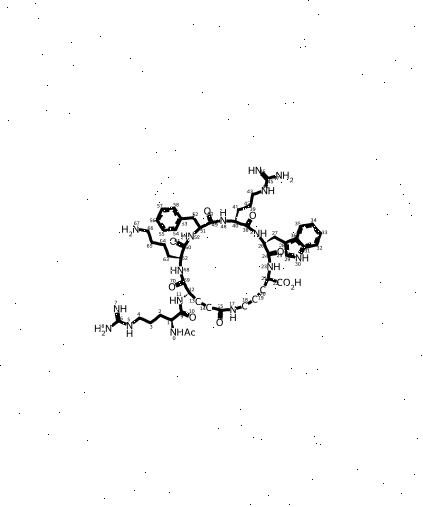 CC(=O)N[C@@H](CCCNC(=N)N)C(=O)N[C@H]1CCC(=O)NCCCC(C(=O)O)NC(=O)[C@H](Cc2c[nH]c3ccccc23)NC(=O)[C@H](CCCNC(=N)N)NC(=O)C(Cc2ccccc2)NC(=O)[C@H](CCCCN)NC1=O